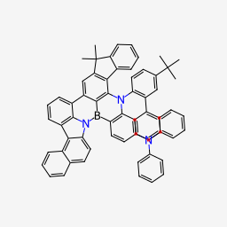 CC(C)(C)c1ccc(N2c3cc(N(c4ccccc4)c4ccccc4)ccc3B3c4c(cc5c(c42)-c2ccccc2C5(C)C)-c2cccc4c5c6ccccc6ccc5n3c24)c(-c2ccccc2)c1